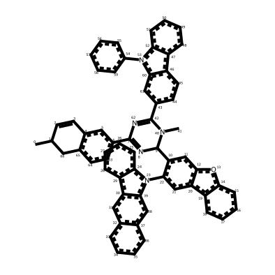 CC1C=Cc2cc(C3=NC(c4cc5oc6ccccc6c5cc4-n4c5ccccc5c5cc6ccccc6cc54)N(C)C(c4ccc5c6ccccc6n(-c6ccccc6)c5c4)=N3)ccc2C1